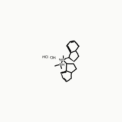 C[SiH](C)[Hf]([CH3])([CH3])([CH]1CCC2CC=CC=C21)[CH]1CCC2CC=CC=C21.Cl.Cl